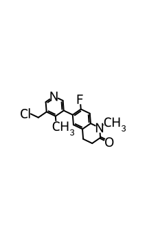 Cc1c(CCl)cncc1-c1cc2c(cc1F)N(C)C(=O)CC2